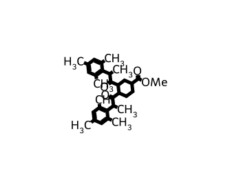 COC(=O)C1CCC(C(=O)C(C)c2c(C)cc(C)cc2C)C(C(=O)C(C)c2c(C)cc(C)cc2C)C1